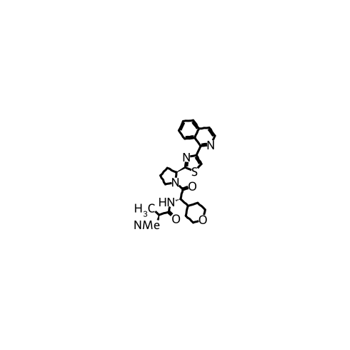 CN[C@@H](C)C(=O)N[C@H](C(=O)N1CCC[C@H]1c1nc(-c2nccc3ccccc23)cs1)C1CCOCC1